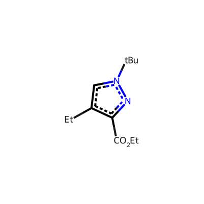 CCOC(=O)c1nn(C(C)(C)C)cc1CC